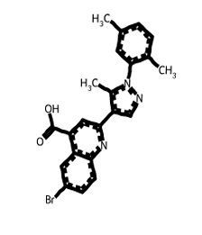 Cc1ccc(C)c(-n2ncc(-c3cc(C(=O)O)c4cc(Br)ccc4n3)c2C)c1